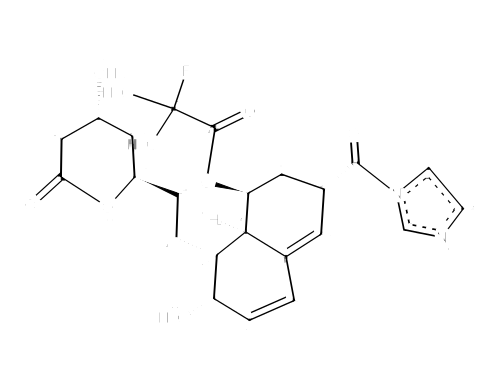 CCC(C)(C)C(=O)O[C@H]1C[C@H](C(=O)n2ccnc2)C=C2C=C[C@H](C)[C@H](CC[C@@H]3C[C@@H](O)CC(=O)O3)[C@H]21